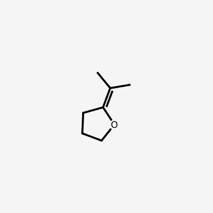 CC(C)=C1CCCO1